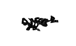 CC12CC=C(c3ccc(C(=O)O)cc3)C(C)(C)C1=CCN(C(=O)c1ccccc1)C2